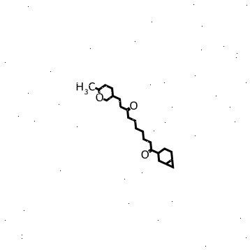 CC1CCC(CCC(=O)CCCCCCC(=O)C2CCC3CC3C2)CO1